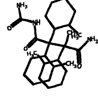 CC1CCCCC1C(C)(C(N)=O)C(C(=O)NC(N)=O)(C1CCCCC1C)C1CCCCC1C